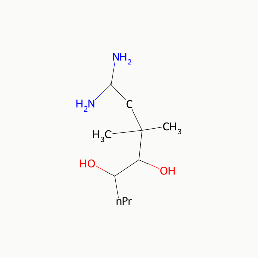 CCCC(O)C(O)C(C)(C)CC(N)N